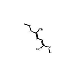 CCO/C(O)=C/C=C(\O)OC